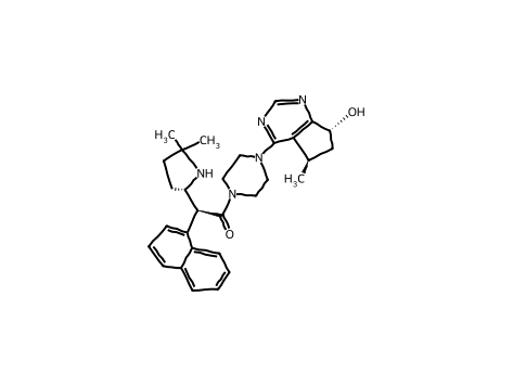 C[C@@H]1C[C@@H](O)c2ncnc(N3CCN(C(=O)[C@@H](c4cccc5ccccc45)[C@@H]4CCC(C)(C)N4)CC3)c21